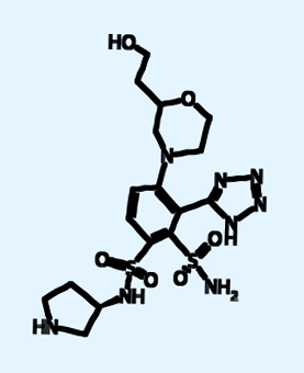 NS(=O)(=O)c1c(S(=O)(=O)N[C@@H]2CCNC2)ccc(N2CCOC(CCO)C2)c1-c1nnn[nH]1